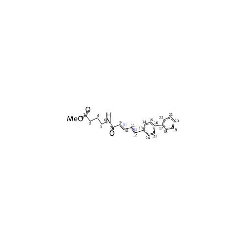 COC(=O)CCCNC(=O)/C=C/C=C/c1ccc(-c2ccccc2)cc1